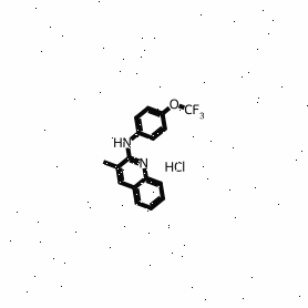 Cc1cc2ccccc2nc1Nc1ccc(OC(F)(F)F)cc1.Cl